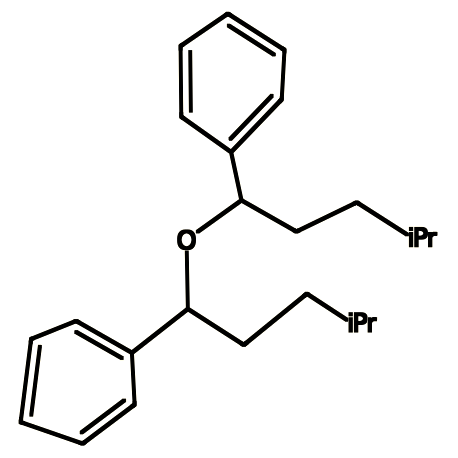 CC(C)CCC(OC(CCC(C)C)c1ccccc1)c1ccccc1